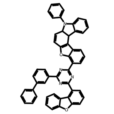 C1=CC2C(c3ccccc3N2c2ccccc2)c2c1oc1c(-c3nc(-c4cccc(-c5ccccc5)c4)nc(-c4cccc5oc6ccccc6c45)n3)cccc21